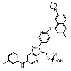 Cc1cccc(Nc2cnc3c(c2)nc(-c2ccc(Nc4cc(C)nc5ccc(N6CCC6)cc45)nc2)n3COP(=O)(O)O)c1